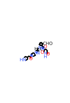 CN(C(=O)c1c(C=O)cccc1NCc1cnn(C2CCN(C(=O)CC3CCNCC3)CC2)c1)C1CCC(=O)NC1=O